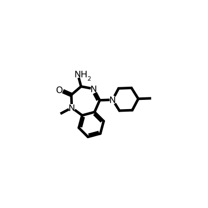 CC1CCN(C2=NC(N)C(=O)N(C)c3ccccc32)CC1